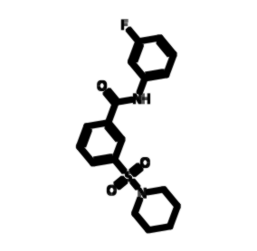 O=C(Nc1cccc(F)c1)c1cccc(S(=O)(=O)N2CCCCC2)c1